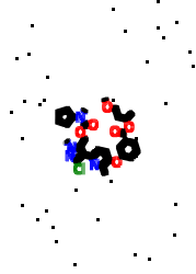 COCCC(C)OC(=O)[C@H]1CCC[C@H](Oc2ccc(-c3c(Cl)nn(C)c3COC(=O)N(C)C3CCCC3)nc2C)C1